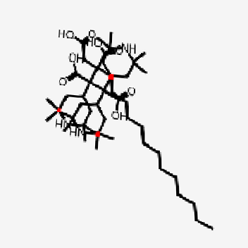 CCCCCCCCCCCCCC(CC(=O)O)(C(=O)O)C(C(=O)O)(C1CC(C)(C)NC(C)(C)C1)C(C(=O)O)(C1CC(C)(C)NC(C)(C)C1)C1CC(C)(C)NC(C)(C)C1